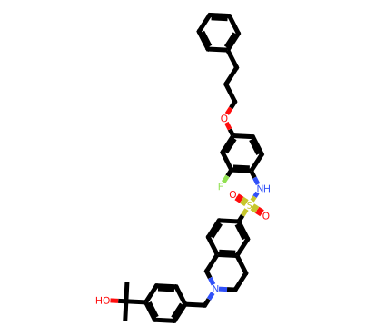 CC(C)(O)c1ccc(CN2CCc3cc(S(=O)(=O)Nc4ccc(OCCCc5ccccc5)cc4F)ccc3C2)cc1